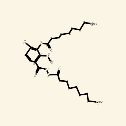 CCCCCCCCCCCCCCCCCC(=O)OOC(=O)c1ccc(C(C)C)c(OC(=O)CCCCCCCCCCCCCCCCC)c1OC(C)C